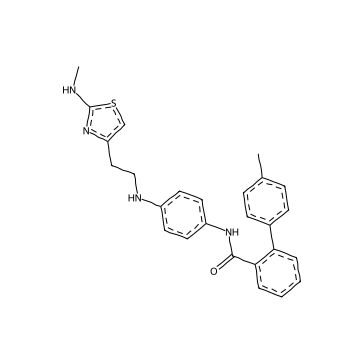 CNc1nc(CCNc2ccc(NC(=O)c3ccccc3-c3ccc(C)cc3)cc2)cs1